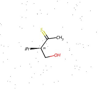 CC(=S)[C@@H](CO)C(C)C